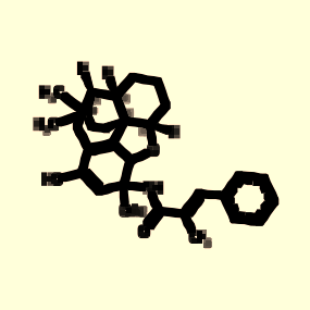 CC(=O)OC1(NC(=O)C(=Cc2ccccc2)C(F)(F)F)C=C(O)C2=C3C1O[C@H]1CCC[C@H]4[C@@H](C2)[N+](C)(C)CC[C@]314